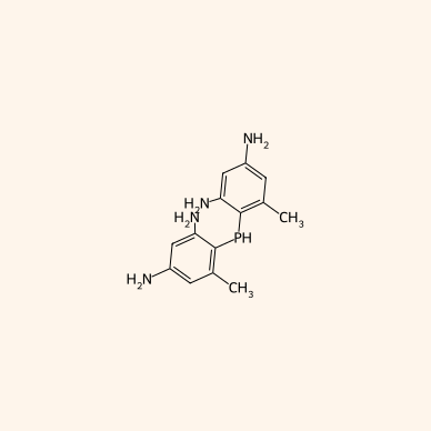 Cc1cc(N)cc(N)c1Pc1c(C)cc(N)cc1N